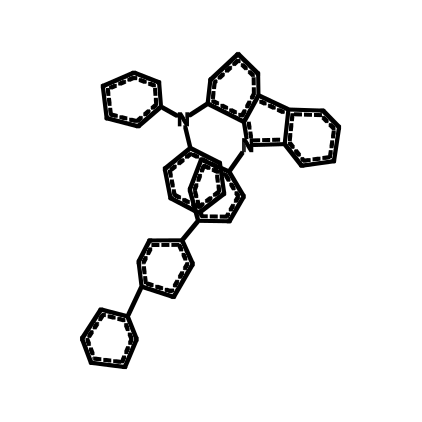 c1ccc(-c2ccc(-c3ccc(-n4c5ccccc5c5cccc(N(c6ccccc6)c6ccccc6)c54)cc3)cc2)cc1